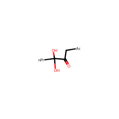 CCCC(O)(O)C(=O)CC(C)=O